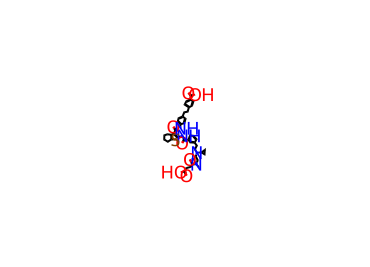 CN(CCN(CCc1cccc(C(=O)Nc2sc3c(c2C(=O)Nc2ccc(CCc4ccc(C(=O)O)cc4)cc2)CCCC3)c1)C1CC1)C(=O)CCC(=O)O